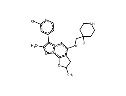 Cc1nc2c3c(c(NCC4(F)CCNCC4)nn2c1-c1ccnc(Cl)c1)CC(C)O3